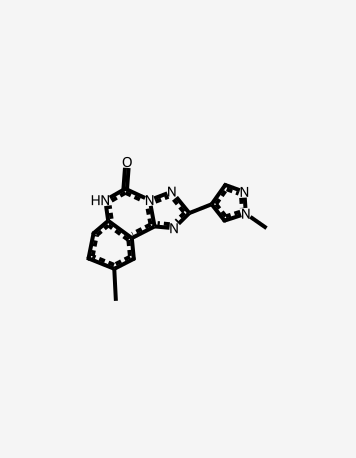 Cc1ccc2[nH]c(=O)n3nc(-c4cnn(C)c4)nc3c2c1